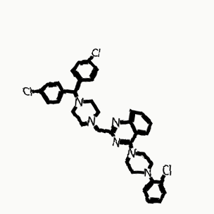 Clc1ccc(C(c2ccc(Cl)cc2)N2CCN(Cc3nc(N4CCN(c5ccccc5Cl)CC4)c4ccccc4n3)CC2)cc1